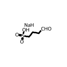 O=CCCCS(=O)(=O)O.[NaH]